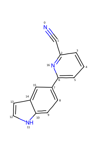 N#Cc1cccc(-c2ccc3[nH]ccc3c2)n1